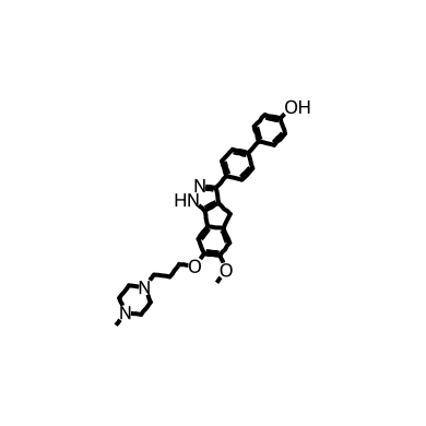 COc1cc2c(cc1OCCCN1CCN(C)CC1)-c1[nH]nc(-c3ccc(-c4ccc(O)cc4)cc3)c1C2